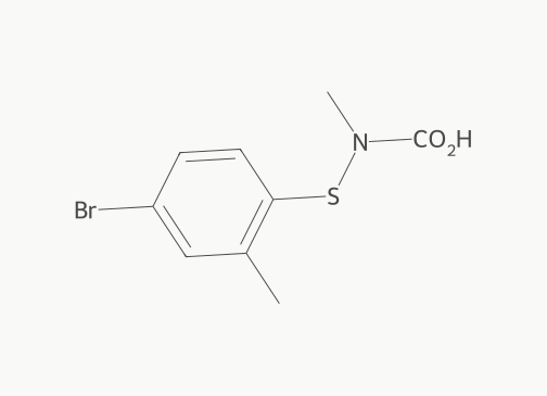 Cc1cc(Br)ccc1SN(C)C(=O)O